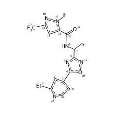 CCc1cc(-c2nc(C(C)NC(=O)c3cc(C(F)(F)F)nn3C)no2)ccn1